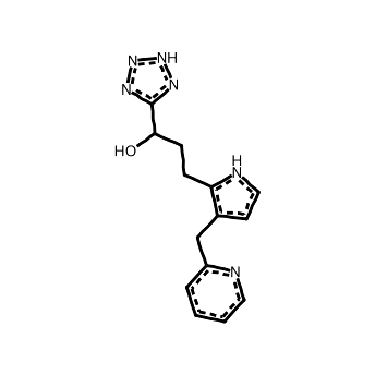 OC(CCc1[nH]ccc1Cc1ccccn1)c1nn[nH]n1